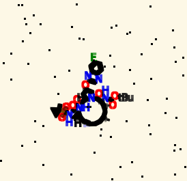 C[C@@H]1CC/C=C\[C@@H]2C[C@@]2(C(=O)NS(=O)(=O)C2(C)CC2)NC(=O)[C@@H]2C[C@@H](Oc3cnc4ccc(F)cc4n3)CN2C(=O)[C@@H](NC(=O)OC(C)(C)C)[C@H](C)C1